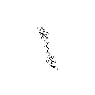 NOC(=O)S(=O)(=O)OCCCCCCOS(=O)(=O)C(=O)ON